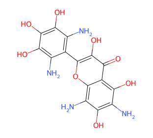 Nc1c(O)c(O)c(O)c(N)c1-c1oc2c(N)c(O)c(N)c(O)c2c(=O)c1O